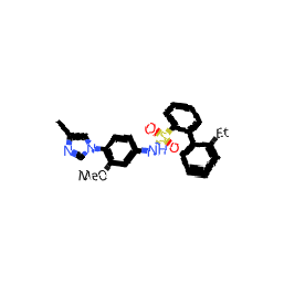 CCc1ccccc1-c1ccccc1S(=O)(=O)Nc1ccc(-n2cnc(C)c2)c(OC)c1